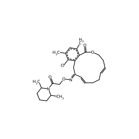 Cc1cc(C)c2c(c1Cl)CC(=N\OCC(=O)N1C(C)CCCC1C)/C=C/CC/C=C/CCOC2=O